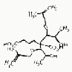 C=C(C)COC(C(C)O)C(CCCC(=O)O)(C(=O)O)C(OCC(=C)C)C(C)O